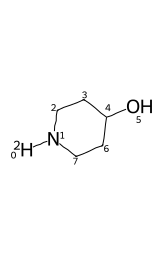 [2H]N1CCC(O)CC1